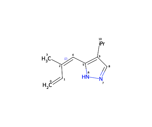 C=C/C(C)=C\c1[nH]ncc1C(C)C